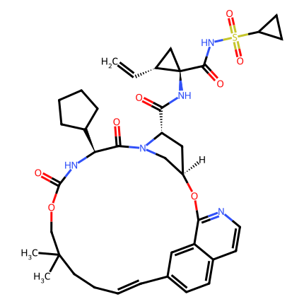 C=C[C@@H]1C[C@]1(NC(=O)[C@@H]1C[C@@H]2CN1C(=O)[C@H](C1CCCC1)NC(=O)OCC(C)(C)CC/C=C/c1ccc3ccnc(c3c1)O2)C(=O)NS(=O)(=O)C1CC1